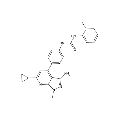 Cc1ccccc1NC(=O)Nc1ccc(-c2cc(C3CC3)nc3c2c(N)nn3C)cc1